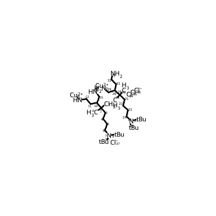 CC(C)(CCCCN(C(C)(C)C)C(C)(C)C)C(CC[NH][Cu+2])C[NH][Cu+2].CC(C)(CCCCN(C(C)(C)C)C(C)(C)C)C(CN)CCN.[Cl-].[Cl-].[Cl-].[Cl-]